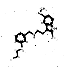 COc1ccc2[nH]c(C)c(CCNCc3cccc(OCCF)c3)c2c1